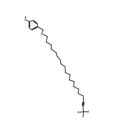 COc1ccc(COCCCCCCCCCCCCCCCCCC#CC(F)(F)F)cc1